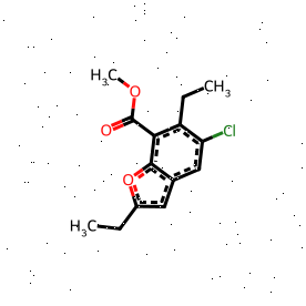 CCc1cc2cc(Cl)c(CC)c(C(=O)OC)c2o1